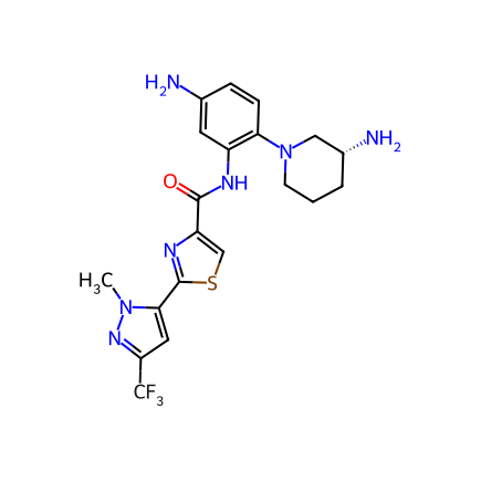 Cn1nc(C(F)(F)F)cc1-c1nc(C(=O)Nc2cc(N)ccc2N2CCC[C@@H](N)C2)cs1